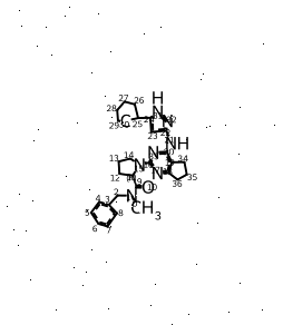 CN(Cc1ccccc1)C(=O)[C@H]1CCCN1c1nc2c(c(Nc3cc(C4CCCCC4)[nH]n3)n1)CCC2